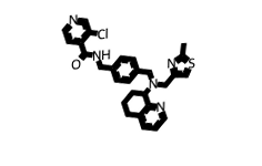 Cc1nc(CN(Cc2ccc(CNC(=O)c3ccncc3Cl)cc2)C2CCCc3cccnc32)cs1